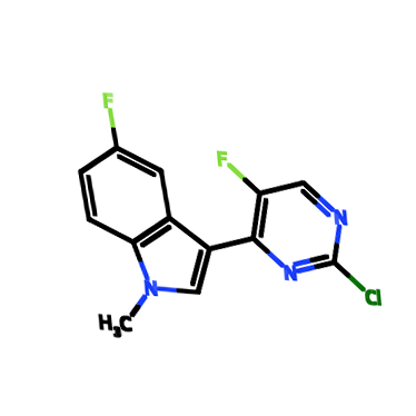 Cn1cc(-c2nc(Cl)ncc2F)c2cc(F)ccc21